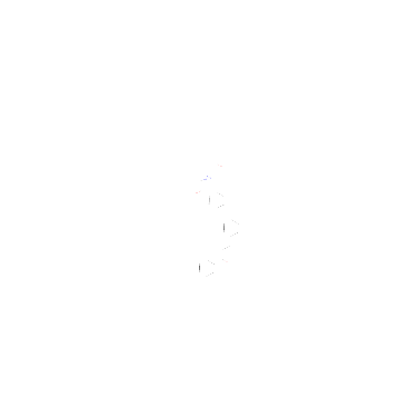 CCCCCCC(=NOC(C)=O)C(=O)c1ccc(Sc2ccc(C=CC(=O)c3ccccc3)cc2)cc1